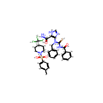 Cc1ccc(S(=O)(=O)N2CC[C@H](C(F)(F)F)C[C@@H]2c2ccccc2CN(C(=S)NC(=O)c2ccccc2)c2nc[nH]c2C(N)=O)cc1